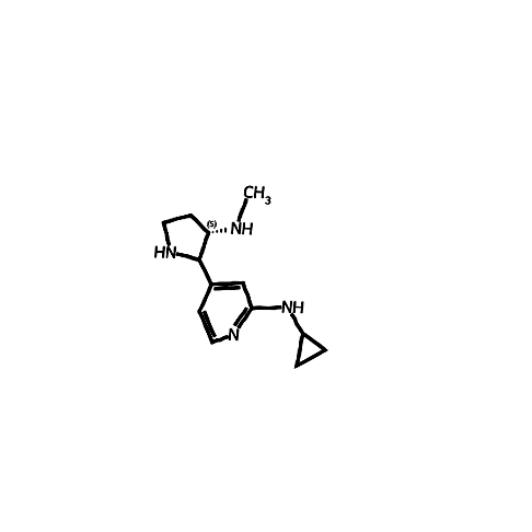 CN[C@H]1CCNC1c1ccnc(NC2CC2)c1